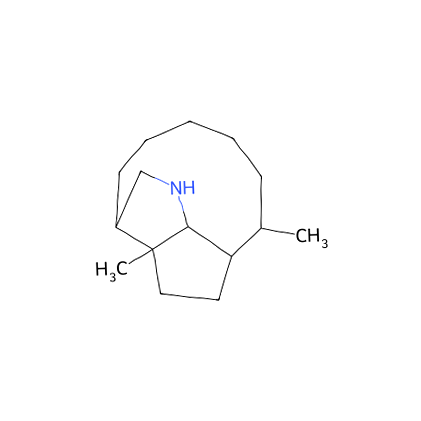 CC1CCCCCC2CNC3C1CCC23C